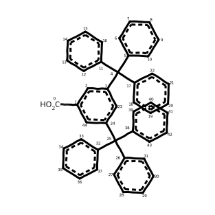 O=C(O)c1cc(C(c2ccccc2)(c2ccccc2)c2ccccc2)cc(C(c2ccccc2)(c2ccccc2)c2ccccc2)c1